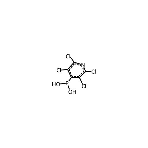 OP(O)c1c(Cl)c(Cl)nc(Cl)c1Cl